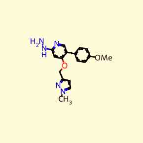 COc1ccc(-c2cnc(NN)cc2OCc2ccn(C)n2)cc1